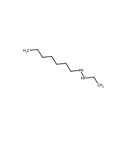 CCCCCCCPPCC